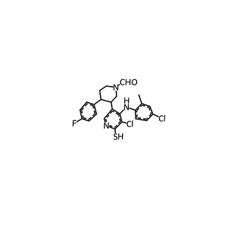 Cc1cc(Cl)ccc1Nc1c(C2CN(C=O)CCC2c2ccc(F)cc2)cnc(S)c1Cl